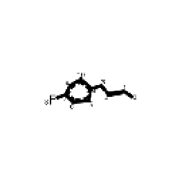 CC=CCc1ccc(F)cc1